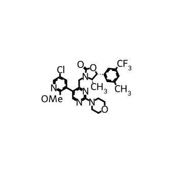 COc1ncc(Cl)cc1-c1cnc(N2CCOCC2)nc1CN1C(=O)O[C@H](c2cc(C)cc(C(F)(F)F)c2)[C@@H]1C